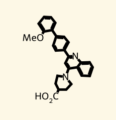 COc1ccccc1-c1ccc(-c2cc(N3CCC(C(=O)O)CC3)c3ccccc3n2)cc1